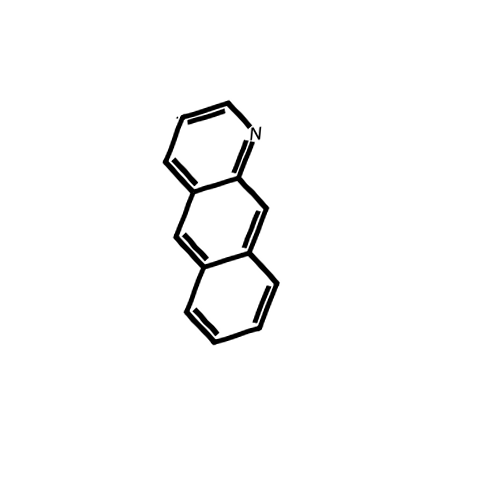 [c]1cnc2cc3ccccc3cc2c1